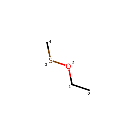 CCOSC